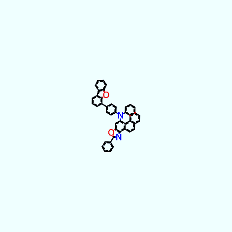 c1ccc(-c2nc3c(cc(N(c4ccccc4)c4ccc(-c5cccc6c5oc5ccccc56)cc4)c4c5ccccc5ccc34)o2)cc1